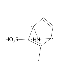 CC1=C(S(=O)(=O)O)[C]2C=C[C]1N2